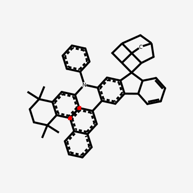 CC1(C)CCC(C)(C)c2cc(N(c3ccccc3)c3cc4c(cc3-c3ccc5ccccc5c3)C3C=CC=CC3C43C4CC5CC6CC3C64C5)ccc21